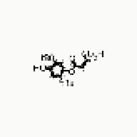 CC(C)(C)c1cc(OC(=O)/C=C\C(=O)O)c(C(C)(C)C)cc1O